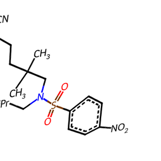 CC(C)CN(CC(C)(C)CCCC#N)S(=O)(=O)c1ccc([N+](=O)[O-])cc1